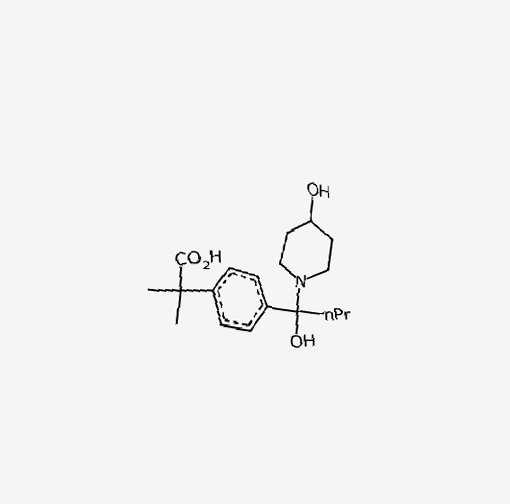 CCCC(O)(c1ccc(C(C)(C)C(=O)O)cc1)N1CCC(O)CC1